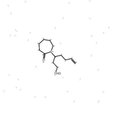 C=CCCC(CCC=O)N1CCCCCC1=O